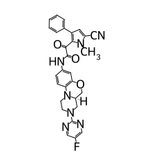 Cn1c(C#N)cc(-c2ccccc2)c1C(=O)C(=O)Nc1ccc2c(c1)OC[C@H]1CN(c3ncc(F)cn3)CCN21